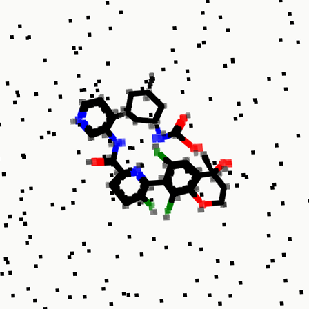 C[C@@H]1C[C@H](NC(=O)O)C[C@H](c2ccncc2NC(=O)c2ccc(F)c(-c3c(F)cc4c(c3F)OCC[C@@]4(C)O)n2)C1